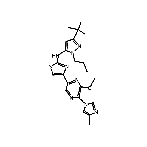 CCCn1nc(C(C)(C)C)cc1Nc1nc(-c2cnc(-n3cnc(C)c3)c(OC)n2)cs1